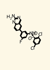 Nc1ncc2cc(-c3cc(F)cc(NS(=O)(=O)c4cc(Cl)ccc4Cl)c3)ccc2n1